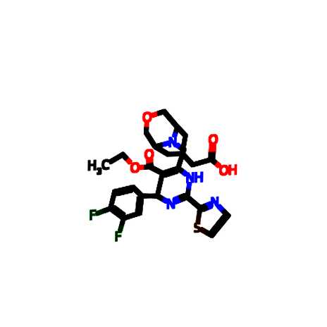 CCOC(=O)C1=C(CN2C3COCC2CC(CC(=O)O)C3)NC(c2nccs2)=NC1c1ccc(F)c(F)c1